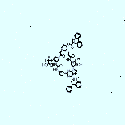 CCC(=O)N[C@H]1C[C@@H](n2cnc3c(NCC(c4ccccc4)c4ccccc4)nc(N4CC[C@@H](NC(=O)N[C@@H]5CCN(C(=O)CN6CCC(OC(=O)Nc7ccccc7-c7ccccc7)CC6)C5)C4)nc32)[C@H](O)[C@@H]1O.O=C(O)C(F)(F)F